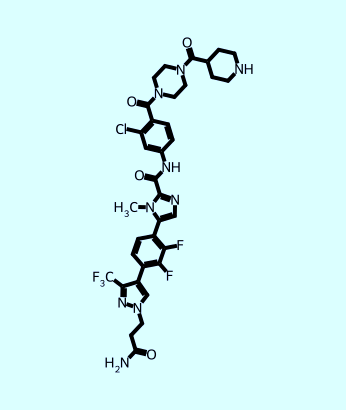 Cn1c(-c2ccc(-c3cn(CCC(N)=O)nc3C(F)(F)F)c(F)c2F)cnc1C(=O)Nc1ccc(C(=O)N2CCN(C(=O)C3CCNCC3)CC2)c(Cl)c1